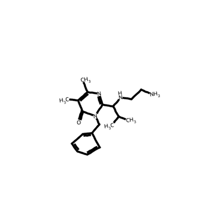 Cc1nc(C(NCCN)C(C)C)n(Cc2ccccc2)c(=O)c1C